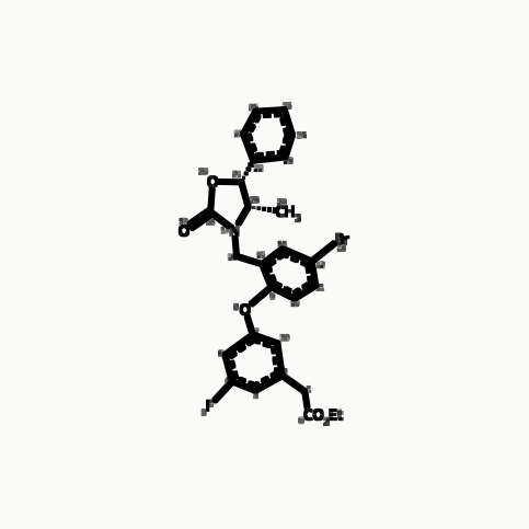 CCOC(=O)Cc1cc(F)cc(Oc2ccc(Br)cc2CN2C(=O)O[C@H](c3ccccc3)[C@@H]2C)c1